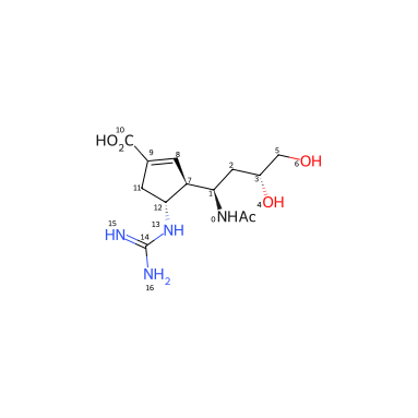 CC(=O)N[C@H](C[C@@H](O)CO)[C@@H]1C=C(C(=O)O)C[C@H]1NC(=N)N